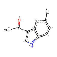 CCc1ccc2[nH]cc(C(=O)C=O)c2c1